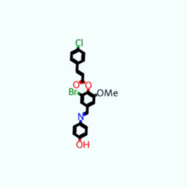 COc1cc(/C=N/c2ccc(O)cc2)cc(Br)c1OC(=O)/C=C/c1ccc(Cl)cc1